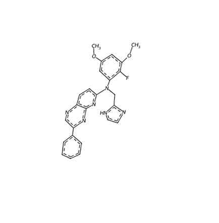 COc1cc(OC)c(F)c(N(Cc2ncc[nH]2)c2ccc3ncc(-c4ccccc4)nc3n2)c1